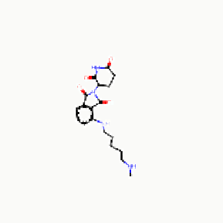 CNCCCCCNc1cccc2c1C(=O)N(C1CCC(=O)NC1=O)C2=O